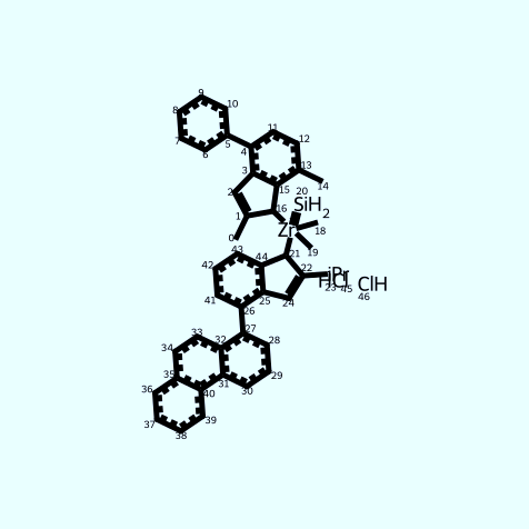 CC1=Cc2c(-c3ccccc3)ccc(C)c2[CH]1[Zr]([CH3])([CH3])(=[SiH2])[CH]1C(C(C)C)=Cc2c(-c3cccc4c3ccc3ccccc34)cccc21.Cl.Cl